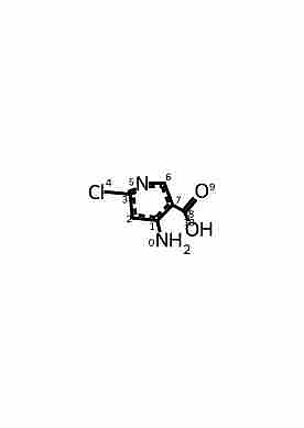 Nc1cc(Cl)ncc1C(=O)O